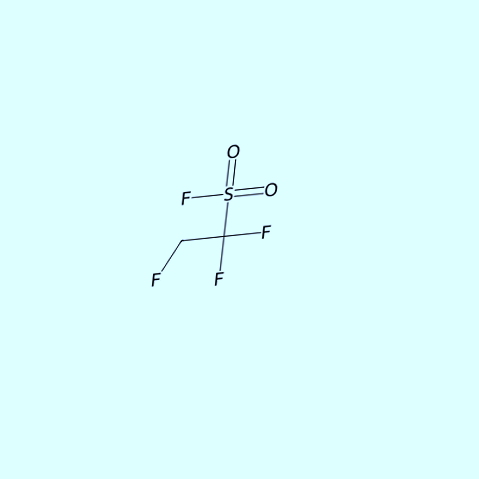 O=S(=O)(F)C(F)(F)CF